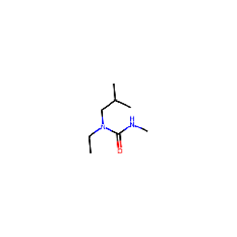 CCN(CC(C)C)C(=O)NC